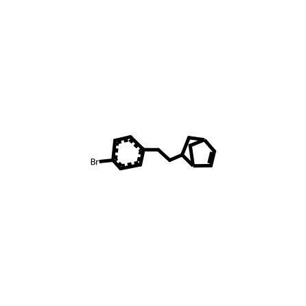 Brc1ccc(CCC2CC3C=CC2C3)cc1